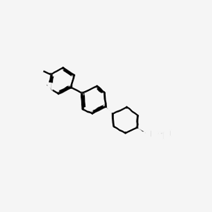 CCCCCCC[C@H]1CC[C@H](c2ccc(-c3ccc(F)nc3)cc2)CC1